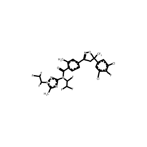 Cc1cc(C2=NOC(c3cc(Cl)c(F)c(Cl)c3)(C(F)(F)F)C2)ccc1C(=O)N(c1nc(C)n(C(F)C(F)F)n1)C(F)C(F)F